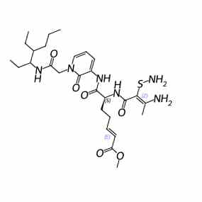 CCCC(CC)C(CC)NC(=O)Cn1cccc(NC(=O)[C@H](CC/C=C/C(=O)OC)NC(=O)/C(SN)=C(\C)N)c1=O